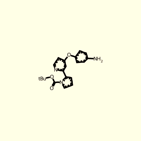 CC(C)(C)OC(=O)n1cccc1-c1cc(Oc2ccc(N)cc2)ccn1